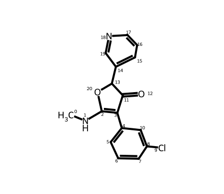 CNC1=C(c2cccc(Cl)c2)C(=O)C(c2cccnc2)O1